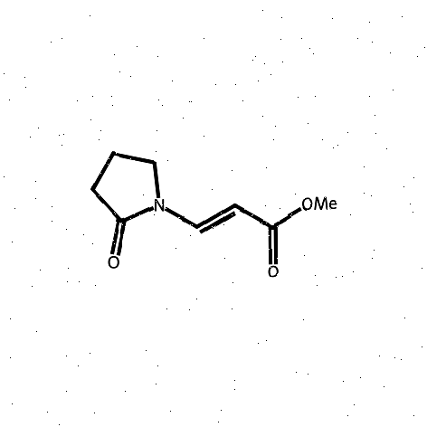 COC(=O)/C=C/N1CCCC1=O